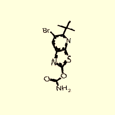 CC(C)(C)c1nc2sc(OC(N)=O)nc2cc1Br